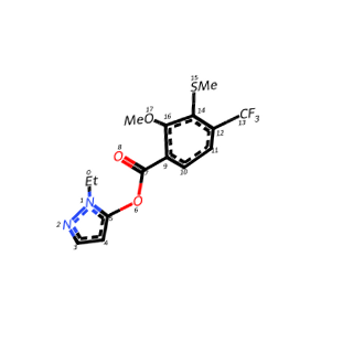 CCn1nccc1OC(=O)c1ccc(C(F)(F)F)c(SC)c1OC